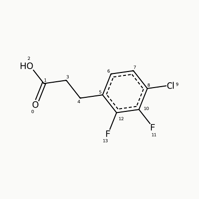 O=C(O)CCc1ccc(Cl)c(F)c1F